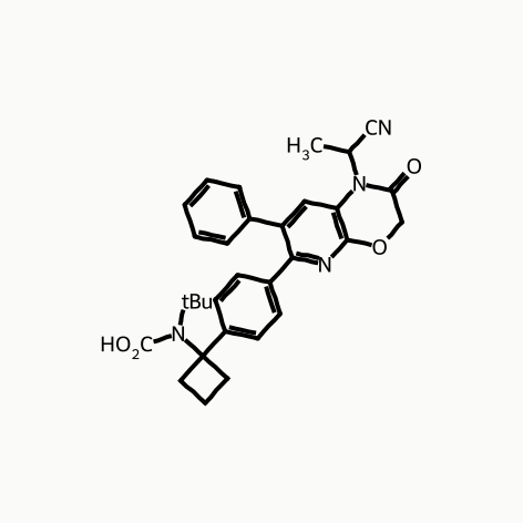 CC(C#N)N1C(=O)COc2nc(-c3ccc(C4(N(C(=O)O)C(C)(C)C)CCC4)cc3)c(-c3ccccc3)cc21